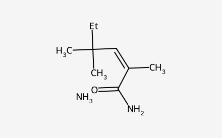 CCC(C)(C)C=C(C)C(N)=O.N